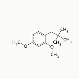 COc1ccc(CC(C)(C)C)c(OC)c1